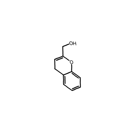 OCC1=CCc2ccccc2O1